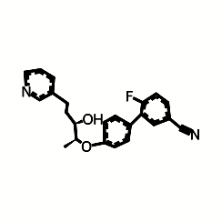 C[C@H](Oc1ccc(-c2cc(C#N)ccc2F)cc1)[C@H](O)CCc1cccnc1